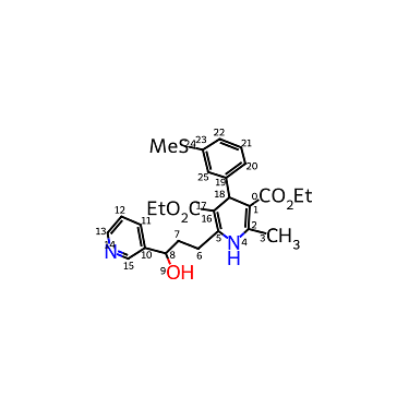 CCOC(=O)C1=C(C)NC(CCC(O)c2cccnc2)=C(C(=O)OCC)C1c1cccc(SC)c1